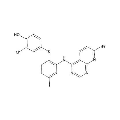 Cc1ccc(Sc2ccc(O)c(Cl)c2)c(Nc2ncnc3nc(C(C)C)ccc23)c1